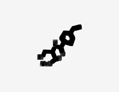 C=Cc1ccc(C(=O)NC(CC(C)C)C(=O)OC)cc1